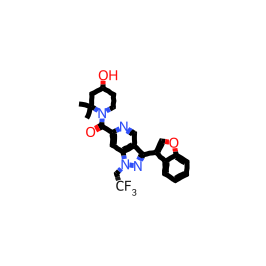 CC1(C)CC(O)CCN1C(=O)c1cc2c(cn1)c(-c1coc3ccccc13)nn2CC(F)(F)F